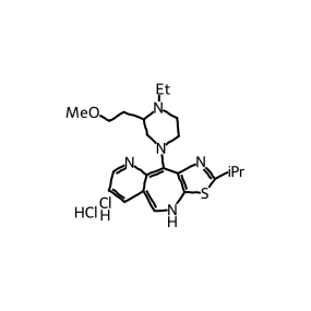 CCN1CCN(C2=c3ncccc3=CNc3sc(C(C)C)nc32)CC1CCOC.Cl.Cl